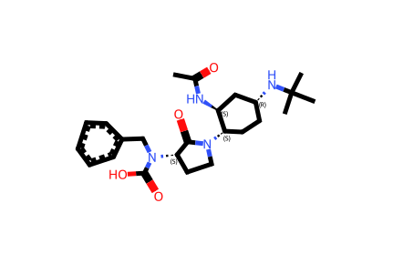 CC(=O)N[C@H]1C[C@H](NC(C)(C)C)CC[C@@H]1N1CC[C@H](N(Cc2ccccc2)C(=O)O)C1=O